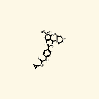 CC1c2c(nc(-c3ccc(NC(=O)NC4CC4)cc3)nc2N2CCOCC2)CS1(O)O